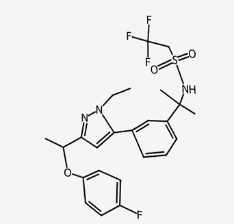 CCn1nc(C(C)Oc2ccc(F)cc2)cc1-c1cccc(C(C)(C)NS(=O)(=O)CC(F)(F)F)c1